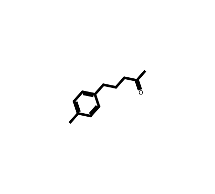 CC(=O)CCCc1ccc(C)cc1